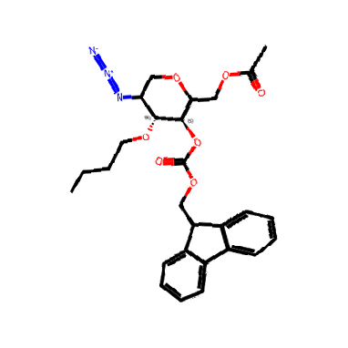 CCCCO[C@@H]1C(N=[N+]=[N-])COC(COC(C)=O)[C@H]1OC(=O)OCC1c2ccccc2-c2ccccc21